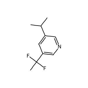 CC(C)c1cncc(C(C)(F)F)c1